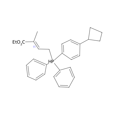 CCOC(=O)/C(C)=C/C[PH](c1ccccc1)(c1ccccc1)c1ccc(C2CCC2)cc1